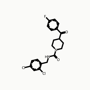 O=C(c1ccc(F)cc1)C1CCN(C(=O)NCc2ccc(Cl)cc2Cl)CC1